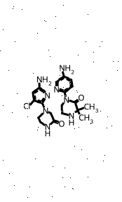 CC1(C)NCCN(c2ccc(N)cn2)C1=O.Nc1cnc(N2CCNC(=O)C2)c(Cl)c1